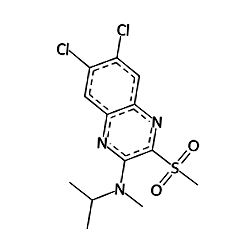 CC(C)N(C)c1nc2cc(Cl)c(Cl)cc2nc1S(C)(=O)=O